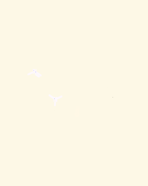 CN(CC(=O)CCC(F)(F)Cl)c1cccnc1